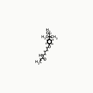 C=CC(=O)NCCCCOc1ccc(C(C)(C)CC)cc1